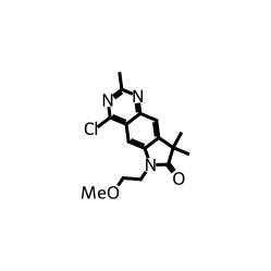 COCCN1C(=O)C(C)(C)c2cc3nc(C)nc(Cl)c3cc21